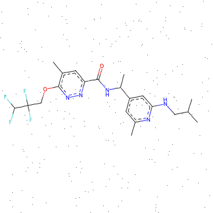 Cc1cc(C(C)NC(=O)c2cc(C)c(OCC(F)(F)C(F)F)nn2)cc(NCC(C)C)n1